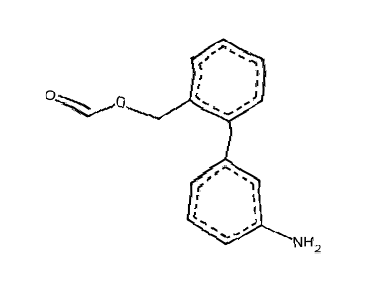 Nc1cccc(-c2ccccc2COC=O)c1